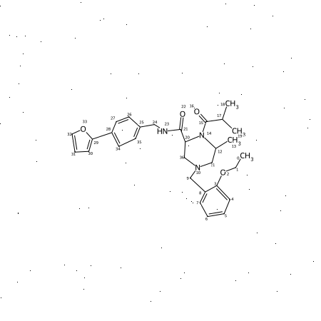 CCOc1ccccc1CN1CC(C)N(C(=O)C(C)C)C(C(=O)NCc2ccc(-c3ccco3)cc2)C1